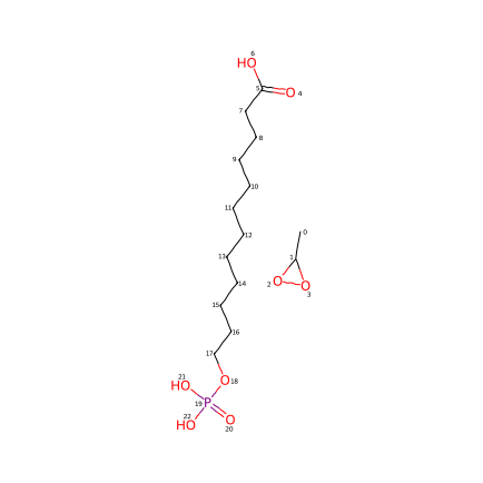 CC1OO1.O=C(O)CCCCCCCCCCCOP(=O)(O)O